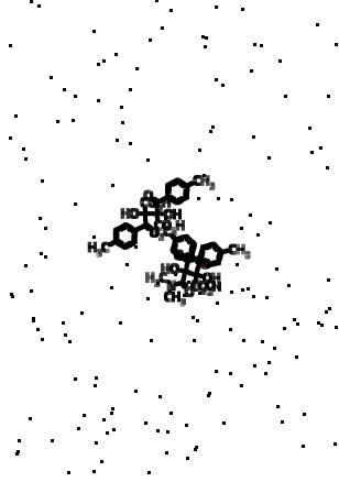 Cc1ccc(C(=O)C(O)(C(=O)O)C(O)(C(=O)O)C(=O)c2ccc(C)cc2)cc1.Cc1ccc(C(=O)C(O)(C(=O)O)C(O)(C(=O)c2ccc(C)cc2)C(=O)N(C)C)cc1.O